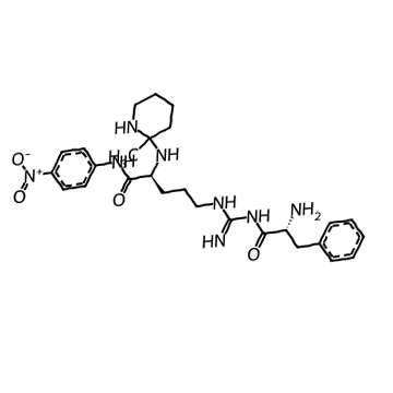 CC1(N[C@@H](CCCNC(=N)NC(=O)[C@H](N)Cc2ccccc2)C(=O)Nc2ccc([N+](=O)[O-])cc2)CCCCN1